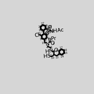 CCCC(=O)N(CCNC(=O)C(CS)Cc1ccccc1)Cc1ccc(-c2ccccc2S(=O)(=O)NC(C)=O)c(Cl)c1